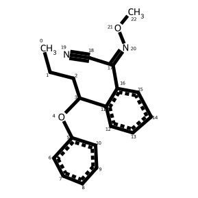 CCCC(Oc1ccccc1)c1ccccc1C(C#N)=NOC